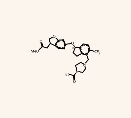 CCC(=O)N1CCN(Cc2c(C(F)(F)F)ccc3c2CC[C@H]3Oc2ccc3c(c2)OCC3CC(=O)OC)CC1